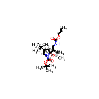 C=CCOC(=O)NCC(=C)[C@@]1(O[SiH](C)C)C[C@H](C(C)(C)C)CN1C(=O)OC(C)(C)C